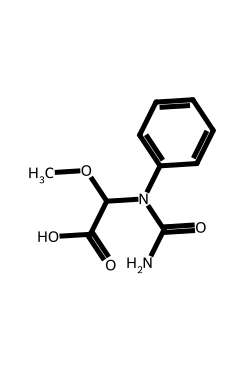 COC(C(=O)O)N(C(N)=O)c1ccccc1